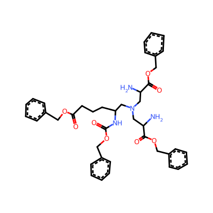 NC(CN(CC(CCCC(=O)OCc1ccccc1)NC(=O)OCc1ccccc1)CC(N)C(=O)OCc1ccccc1)C(=O)OCc1ccccc1